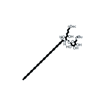 CC#CC#CC#CC#CC#CC#CC#CC#CC#CC#CC#CC#CC(=O)N[C@@H](CO[C@H]1OC(CSC(C)(C)C)[C@H](O)[C@H](O)C1O)[C@H](O)[C@H](O)CCCCCCCCCCCCCC